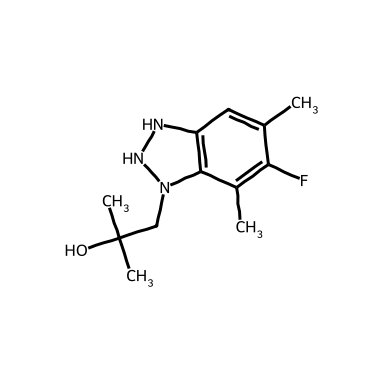 Cc1cc2c(c(C)c1F)N(CC(C)(C)O)NN2